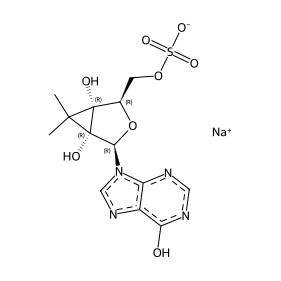 CC1(C)[C@]2(O)[C@H](n3cnc4c(O)ncnc43)O[C@H](COS(=O)(=O)[O-])[C@]12O.[Na+]